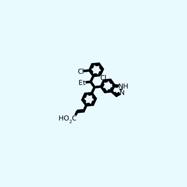 CCC(c1c(Cl)cccc1Cl)C(c1ccc(/C=C/C(=O)O)cc1)c1ccc2[nH]ncc2c1